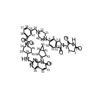 O=C1CCC(N2Cc3cc(N4CCN(Cc5cccc(S(=O)(=O)N6CCC(Nc7ncc8ccc(=O)n(C9CC%10CC%10C9)c8n7)CC6)c5)CC4)ccc3C2=O)C(=O)N1